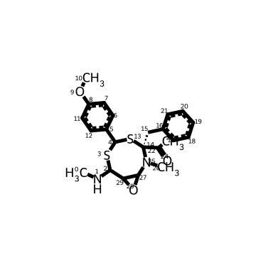 CNC1SC(c2ccc(OC)cc2)S[C@@](Cc2ccccc2)(C(C)=O)N(C)C2OC12